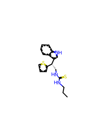 CCCNC(=S)NC[C@H](c1cccs1)c1c[nH]c2ccccc12